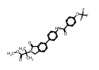 COC(=O)C(C)(C)N1Cc2ccc(-c3ccc(NC(=O)c4ccc(OC(F)(F)F)cc4)cc3)cc2C1=O